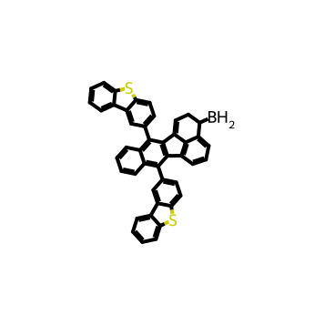 BC1CC=C2c3c(cccc31)-c1c2c(-c2ccc3sc4ccccc4c3c2)c2ccccc2c1-c1ccc2sc3ccccc3c2c1